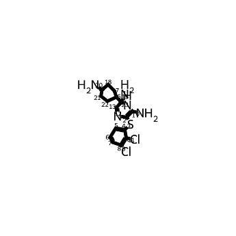 NC1=C(Sc2cccc(Cl)c2Cl)N=CC(N)(C2CCC(N)CC2)N1